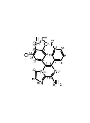 COc1cc(-c2c(-c3cccc(F)c3)nc(N)c3nccn23)cc(Cl)c1O